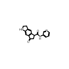 O=C1CC(C(=O)Nc2cccnc2)c2cc3c(cc21)NCC3